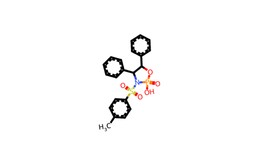 Cc1ccc(S(=O)(=O)N2C(c3ccccc3)C(c3ccccc3)OP2(=O)O)cc1